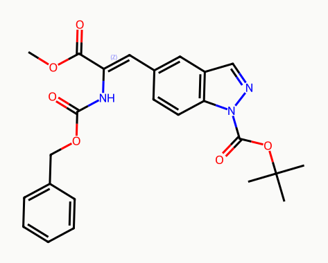 COC(=O)/C(=C/c1ccc2c(cnn2C(=O)OC(C)(C)C)c1)NC(=O)OCc1ccccc1